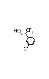 OCC(c1cccc(Cl)c1)C(F)(F)F